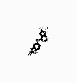 O=C(O)c1cc2c(Nc3ccc4[nH]c(=O)sc4c3)ncnc2[nH]1